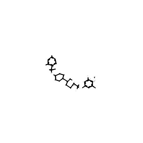 CCCc1ccc(C(F)(F)OC2CCC(C3CCC(C(F)(F)Oc4cc(F)c(OC(F)(F)F)c(F)c4)OC3)CC2)c(F)c1